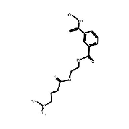 CCCNC(=O)c1cccc(C(=O)NCCNC(=O)CCCN(C)C)c1